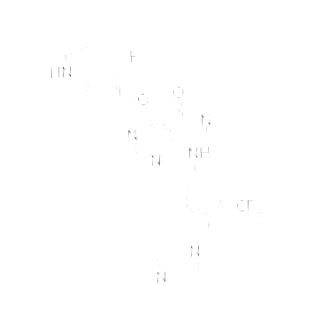 Cc1cc2c(F)c(Oc3ncnc(Nc4ccc(CN5CCN(C)CC5)c(C(F)(F)F)c4)c3C(=O)N(C)C)ccc2[nH]1